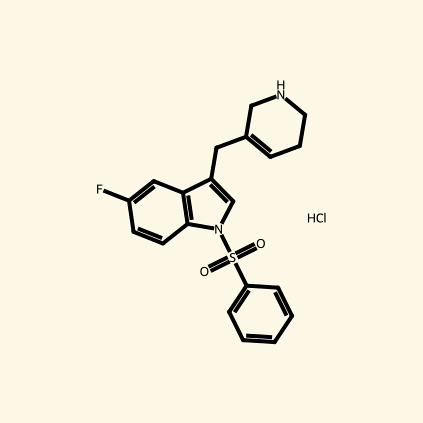 Cl.O=S(=O)(c1ccccc1)n1cc(CC2=CCCNC2)c2cc(F)ccc21